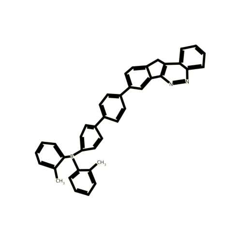 Cc1ccccc1B(c1ccc(-c2ccc(-c3ccc4c(c3)-c3nnc5ccccc5c3C4)cc2)cc1)c1ccccc1C